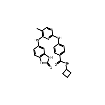 Cc1cnc(Nc2ccc(C(=O)NC3CCC3)cc2)nc1Nc1ccc2oc(=O)[nH]c2c1